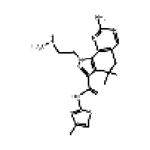 Cc1csc(NC(=O)c2nn(CCNC(=O)O)c3c2C(C)(C)Cc2cnc(N)nc2-3)n1